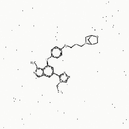 CCn1cnnc1-c1cc(Oc2ccc(OCCCN3CC4CC3CO4)cc2)c2c(cnn2C)c1